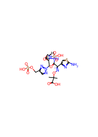 CC(C)(O/N=C(\C(=O)N[C@H]1C2OC1(Cn1ncc(COS(=O)(=O)O)n1)N2S(=O)(=O)O)c1csc(N)n1)C(=O)O